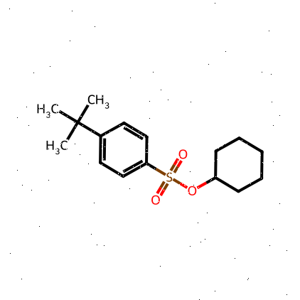 CC(C)(C)c1ccc(S(=O)(=O)OC2CCCCC2)cc1